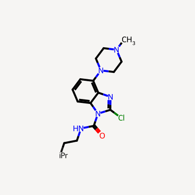 CC(C)CCNC(=O)n1c(Cl)nc2c(N3CCN(C)CC3)cccc21